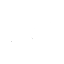 Cc1cc(COCCCO)c(O)c(C(C)(C)C)c1